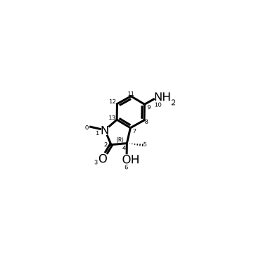 CN1C(=O)[C@](C)(O)c2cc(N)ccc21